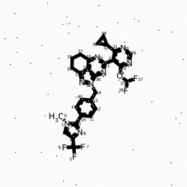 Cn1cc(C(F)(F)F)nc1-c1ccc(Cn2nc3c4c(nc(-c5c(OC(F)F)ncnc5C5CC5)nc42)CCC3)cc1